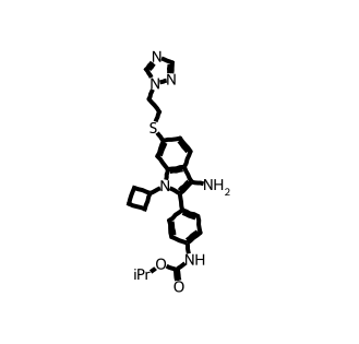 CC(C)OC(=O)Nc1ccc(-c2c(N)c3ccc(SCCn4cncn4)cc3n2C2CCC2)cc1